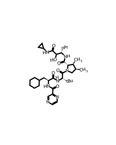 CCC[C@H](NC(=O)[C@@H]1[C@@H](C)[C@@H](C)CN1C(=O)[C@@H](NC(=O)[C@H](CC1CCCCC1)NC(=O)c1cnccn1)C(C)(C)C)C(O)C(=O)NC1CC1